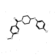 COc1ccc(C(=O)N2CCC(Oc3ccc(Cl)cc3)CC2)cn1